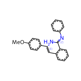 COc1ccc(/C=C/c2ccccc2/C(N)=N/c2ccccc2)cc1